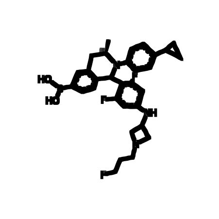 C[C@@H]1Cc2cc(B(O)O)ccc2C(c2c(F)cc(NC3CN(CCCF)C3)cc2F)N1c1ccc(C2CC2)cc1